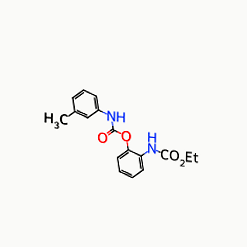 CCOC(=O)Nc1ccccc1OC(=O)Nc1cccc(C)c1